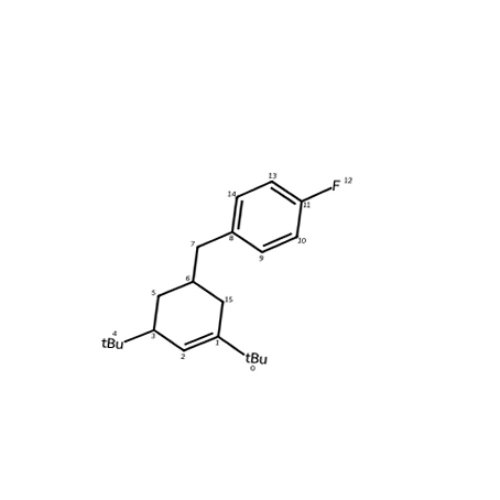 CC(C)(C)C1=CC(C(C)(C)C)CC(Cc2ccc(F)cc2)C1